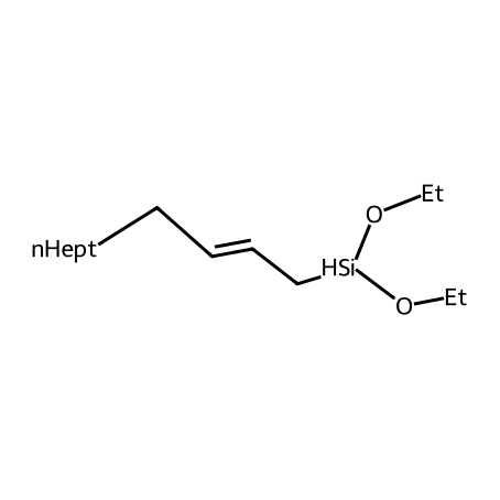 CCCCCCCCC=CC[SiH](OCC)OCC